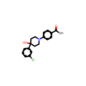 CCCC(=O)c1ccc(N2CCC(O)(c3cccc(Cl)c3)CC2)cc1